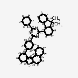 CC1(C)c2ccccc2-c2c(-c3nc(-c4ccccc4)nc(-c4ccc(-c5cccc6sc7ccc8ccccc8c7c56)cc4)n3)cccc21